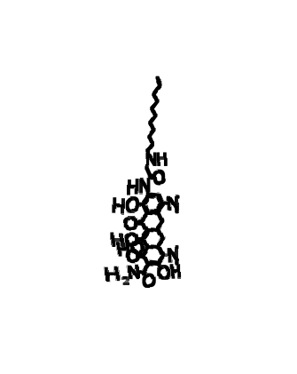 CCCCCCCCCCCNCC(=O)Nc1cc(N(C)C)c2c(c1O)C(=O)C1=C(O)[C@]3(O)C(=O)C(C(N)=O)=C(O)[C@@H](N(C)C)C3CC1C2